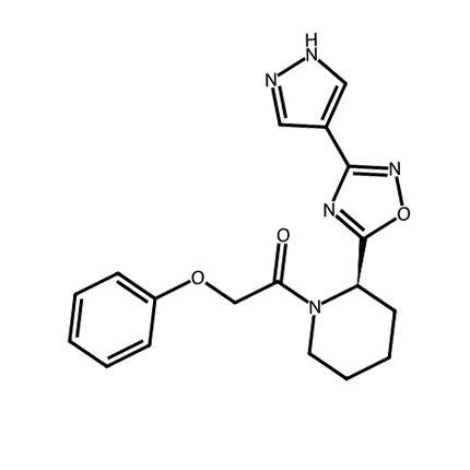 O=C(COc1ccccc1)N1CCCC[C@@H]1c1nc(-c2cn[nH]c2)no1